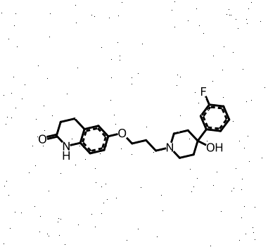 O=C1CCc2cc(OCCCN3CCC(O)(c4cccc(F)c4)CC3)ccc2N1